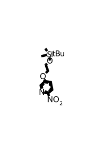 CC(C)(C)[Si](C)(C)OCCOc1ccc([N+](=O)[O-])nc1